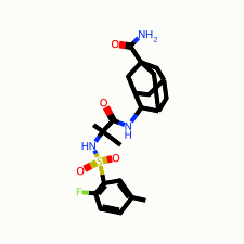 Cc1ccc(F)c(S(=O)(=O)NC(C)(C)C(=O)NC2C3CC4CC2CC(C(N)=O)(C4)C3)c1